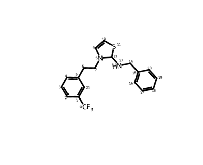 FC(F)(F)c1cccc(CCN2C=CSC2NCc2ccccc2)c1